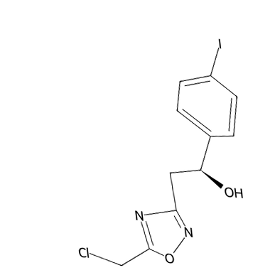 O[C@@H](Cc1noc(CCl)n1)c1ccc(I)cc1